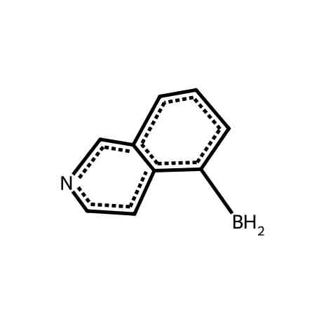 Bc1cccc2cnccc12